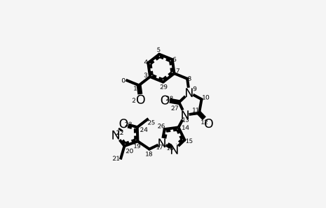 CC(=O)c1cccc(CN2CC(=O)N(c3cnn(Cc4c(C)noc4C)c3)C2=O)c1